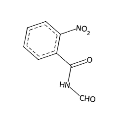 O=CNC(=O)c1ccccc1[N+](=O)[O-]